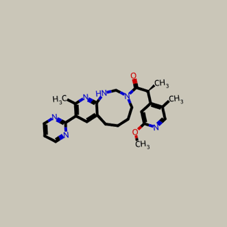 COc1cc([C@H](C)C(=O)N2CCCCc3cc(-c4ncccn4)c(C)nc3NC2)c(C)cn1